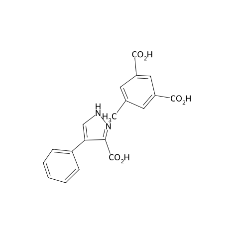 Cc1cc(C(=O)O)cc(C(=O)O)c1.O=C(O)c1n[nH]cc1-c1ccccc1